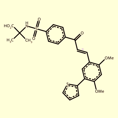 COc1cc(OC)c(-c2cccs2)cc1/C=C/C(=O)c1ccc(S(=O)(=O)NC(C)(C)C(=O)O)cc1